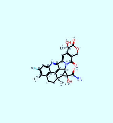 CC[C@@]1(O)C(=O)OCc2c1cc1n(c2=O)Cc2c-1nc1cc(F)c(C)c3c1c2[C@](C)(C1CC1(O)C(N)=O)CC3